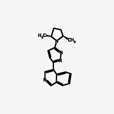 C[C@@H]1CC[C@H](C)N1c1ccc(-c2cncc3ccccc23)nn1